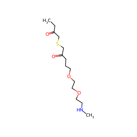 CCC(=O)CSCC(=O)CCCOCCOCCNC